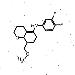 COCC1CCC(Nc2ccc(F)c(F)c2)=C2CCCOC21